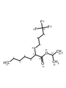 CCCCCC(SCCCC(F)(F)F)C(=O)OC(C)C